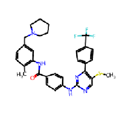 CSc1cnc(Nc2ccc(C(=O)Nc3cc(CN4CCCCC4)ccc3C)cc2)nc1-c1ccc(C(F)(F)F)cc1